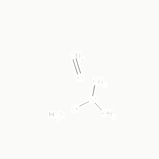 C[S+](C)[O-].O.O=[SH2]